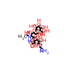 CC(=O)NC1C(O)[C@H](O[C@@H]2OC(C(=O)O)[C@@H](O)C(O)C2O)C(CO)O[C@@H]1O[C@@H]1C(C(=O)O)O[C@@H](OCCN)C(O)C1O